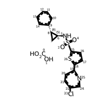 O=C(O)O.O=S(=O)(N[C@H]1C[C@@H]1c1ccccc1)c1ccc(-c2ccc(Cl)cn2)s1